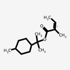 C/C=C(/C)C(=O)OC(C)(C)C1CCC(C)CC1